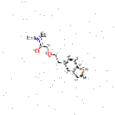 CCN(CC)C(=O)COCCc1ccc2sccc2c1